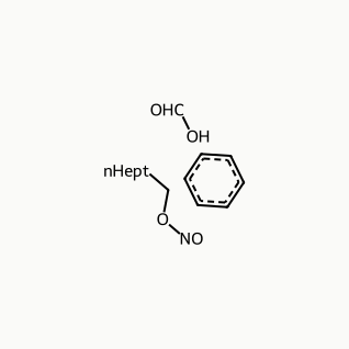 CCCCCCCCON=O.O=CO.c1ccccc1